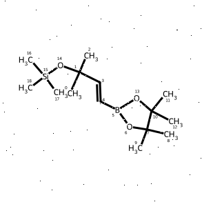 CC(C)(C=CB1OC(C)(C)C(C)(C)O1)O[Si](C)(C)C